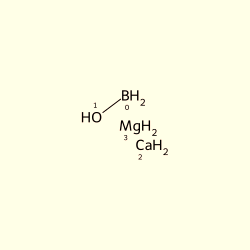 BO.[CaH2].[MgH2]